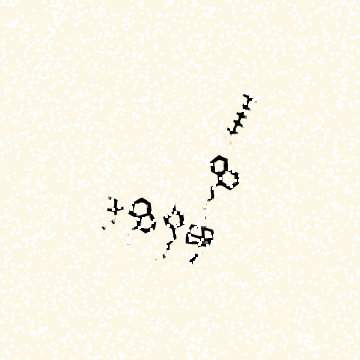 CC(C)(C)CC(C)(C)N=C=O.O=C=NC(F)(F)C(F)(F)C(F)(F)C(F)(F)C(F)(F)C(F)(F)F.O=C=NC12CC3CC(CC(C3)C1)C2.O=C=NCCc1ccc(Br)cc1.O=C=NCCc1cccc2ccccc12.O=C=Nc1cccc2ccccc12